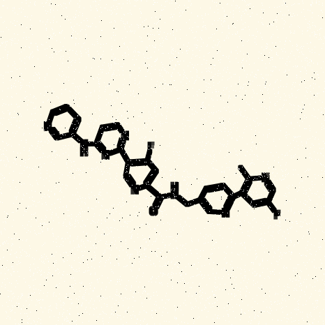 Cc1ncc(F)cc1-c1ccc(CNC(=O)c2cc(F)c(-c3nccc(Nc4cccnc4)n3)cn2)cn1